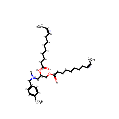 CCCCCCCC/C=C\CCCCCCCC(=O)OCC(CN(C)Cc1ccc(C(=O)O)cc1)OC(=O)CCCCCCC/C=C\CCCCCCCC